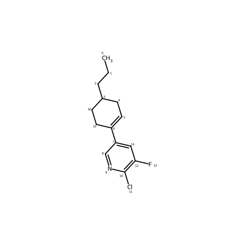 CCCC1CC=C(c2cnc(Cl)c(F)c2)CC1